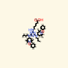 CCCCN(c1nc(NCCCCCC(=O)O)nc(N(CCCC)C2CC(C)(C)N(OC3CCCCC3)C(C)(C)C2)n1)C1CC(C)(C)N(OC2CCCCC2)C(C)(C)C1